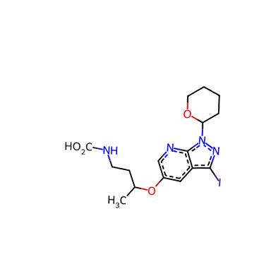 CC(CCNC(=O)O)Oc1cnc2c(c1)c(I)nn2C1CCCCO1